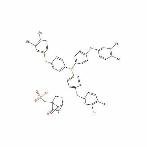 CC1(C)C2CCC1(CS(=O)(=O)[O-])C(=O)C2.CCc1cc(Sc2ccc([S+](c3ccc(Sc4ccc(C(C)=O)c(CC)c4)cc3)c3ccc(Sc4ccc(C(C)=O)c(CC)c4)cc3)cc2)ccc1C(C)=O